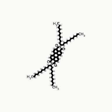 CCCCCCCCCCCC(CCCCCCCCCCC)N1C(=O)c2ccc3c4ccc5c6c(ccc(c7ccc(c2c37)C1=O)c64)C(=O)N(C(CCCCCCCCCCC)CCCCCCCCCCC)C5=O